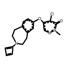 Cn1ncc(Oc2ccc3c(c2)CCN(C2=CC=C2)CC3)c(Cl)c1=O